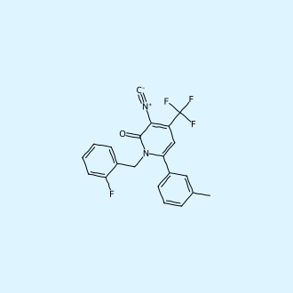 [C-]#[N+]c1c(C(F)(F)F)cc(-c2cccc(C)c2)n(Cc2ccccc2F)c1=O